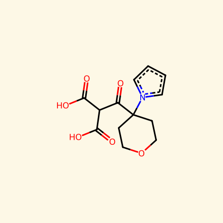 O=C(O)C(C(=O)O)C(=O)C1(n2cccc2)CCOCC1